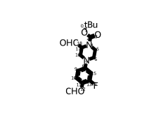 CC(C)(C)OC(=O)N1CCN(c2ccc(C=O)c(F)c2)CC1C=O